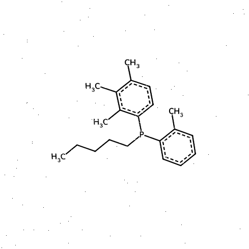 CCCCCP(c1ccccc1C)c1ccc(C)c(C)c1C